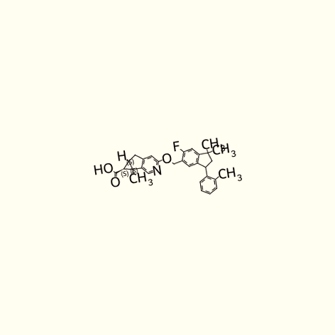 Cc1ccccc1C1CC(C)(C)c2cc(F)c(COc3cc4c(cn3)[C@@]3(C)[C@@H](C4)[C@@H]3C(=O)O)cc21